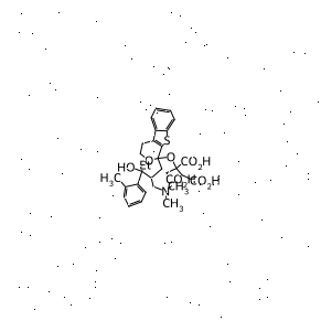 CCC(O)(c1ccccc1C)C(CN(C)C)CC1(OC(CC(=O)O)(CC(=O)O)C(=O)O)OCCc2c1sc1ccccc21